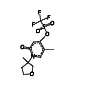 Cc1cn(C2(C)CCOC2)c(=O)cc1OS(=O)(=O)C(F)(F)F